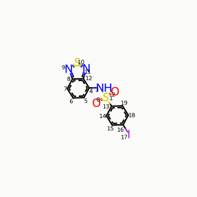 O=S(=O)(Nc1cccc2nsnc12)c1ccc(I)cc1